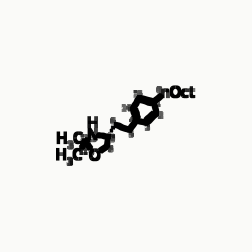 CCCCCCCCc1ccc(CC[C@@H]2COC(C)(C)N2)cc1